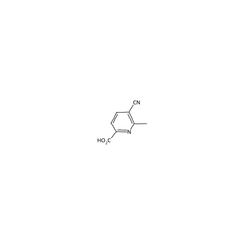 Cc1nc(C(=O)O)ccc1C#N